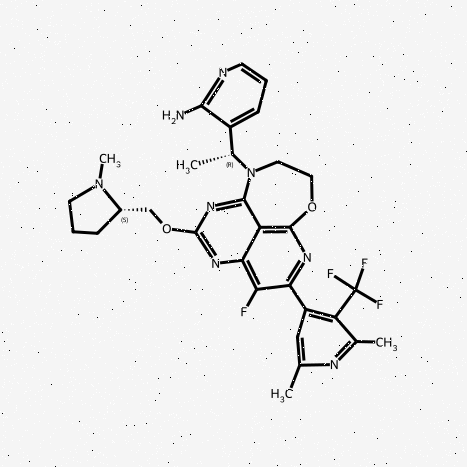 Cc1cc(-c2nc3c4c(nc(OC[C@@H]5CCCN5C)nc4c2F)N([C@H](C)c2cccnc2N)CCO3)c(C(F)(F)F)c(C)n1